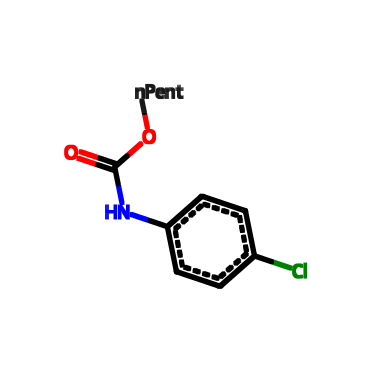 [CH2]CCCCOC(=O)Nc1ccc(Cl)cc1